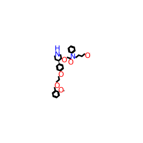 COCCCCN(C(=O)CO[C@H]1CNCC[C@@H]1c1ccc(OCCCOCc2ccccc2OC)cc1)c1ccccc1